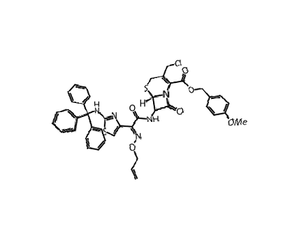 C=CCON=C(C(=O)NC1C(=O)N2C(C(=O)OCc3ccc(OC)cc3)=C(CCl)CS[C@@H]12)c1csc(NC(c2ccccc2)(c2ccccc2)c2ccccc2)n1